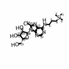 C[Si](C)(C)CCCNc1ncnc2c1nc(Cl)n2[C@@H]1O[C@H](CO)[C@@H](O)[C@H]1O